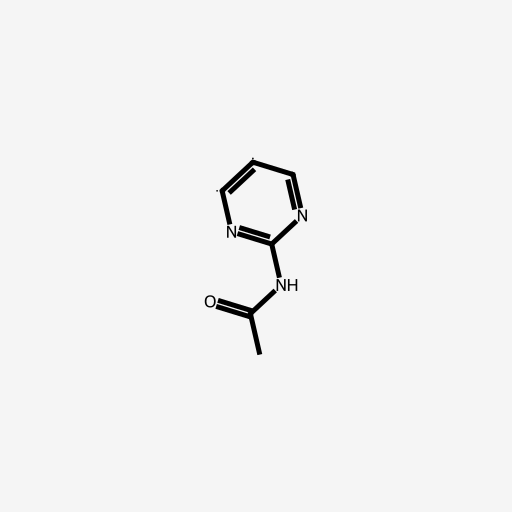 CC(=O)Nc1n[c][c]cn1